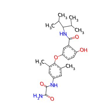 Cc1cc(NC(=O)C(N)=O)cc(C)c1Oc1ccc(O)c(C(=O)NC(C(C)C)C(C)C)c1